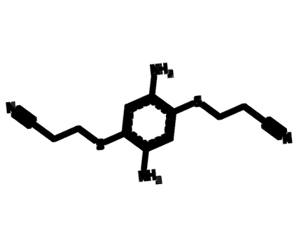 N#CCCSc1cc(N)c(SCCC#N)cc1N